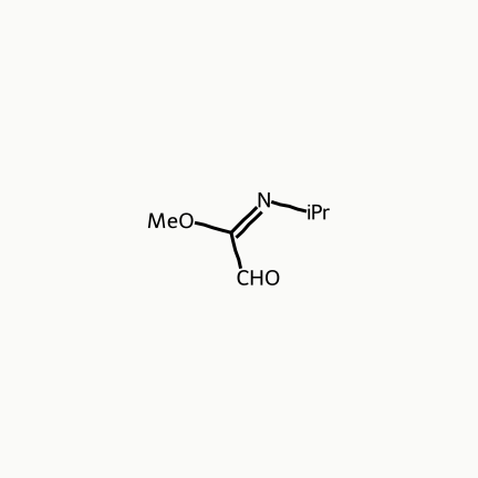 COC(C=O)=NC(C)C